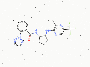 Cc1nc(C(F)(F)F)cnc1N[C@H]1CCC[C@@H]1NC(=O)c1ccccc1-n1nccn1